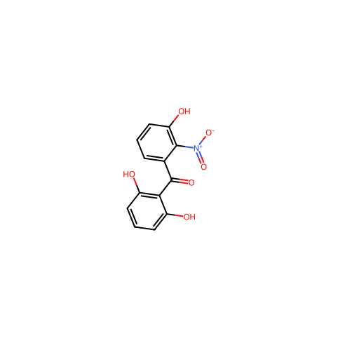 O=C(c1cccc(O)c1[N+](=O)[O-])c1c(O)cccc1O